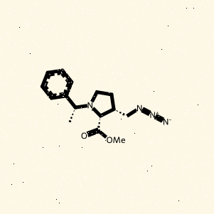 COC(=O)[C@H]1[C@@H](CN=[N+]=[N-])CCN1[C@H](C)c1ccccc1